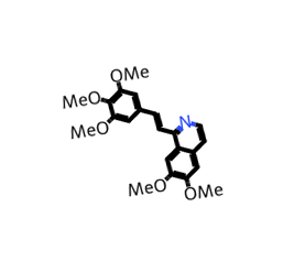 COc1cc2ccnc(/C=C/c3cc(OC)c(OC)c(OC)c3)c2cc1OC